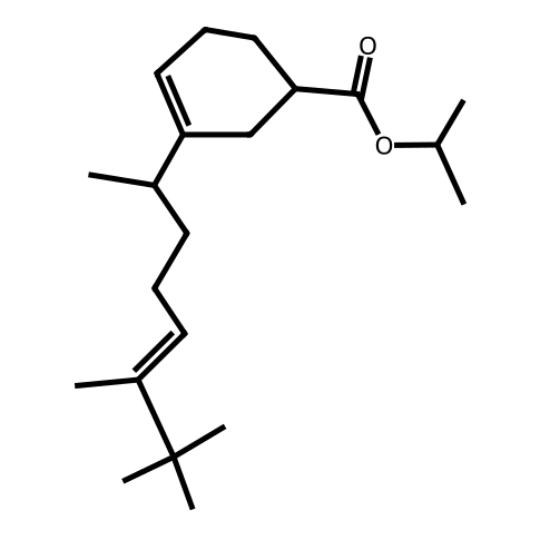 C/C(=C\CCC(C)C1=CCCC(C(=O)OC(C)C)C1)C(C)(C)C